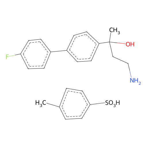 CC(O)(CCN)c1ccc(-c2ccc(F)cc2)cc1.Cc1ccc(S(=O)(=O)O)cc1